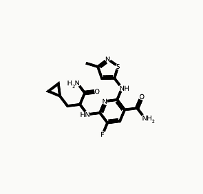 Cc1cc(Nc2nc(NC(CC3CC3)C(N)=O)c(F)cc2C(N)=O)sn1